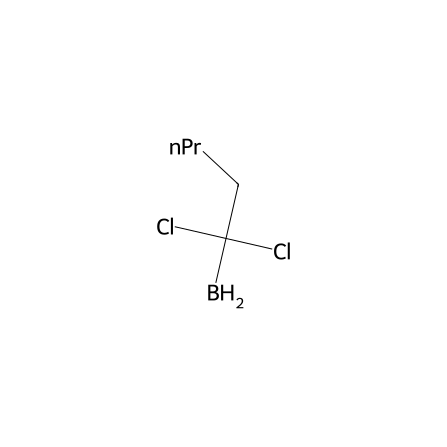 BC(Cl)(Cl)CCCC